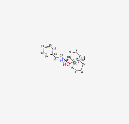 O[C@]12CCCC[C@@H]1CCCC2NCCc1ccccc1